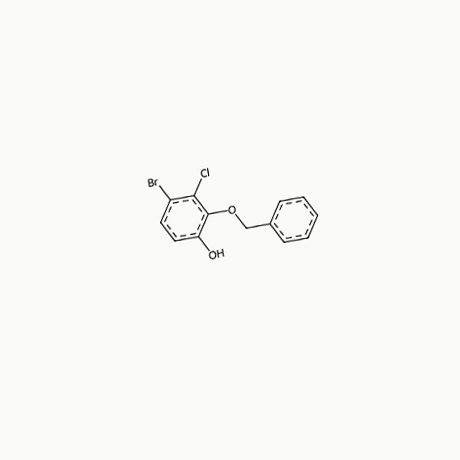 Oc1ccc(Br)c(Cl)c1OCc1ccccc1